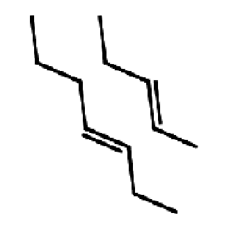 CC=CCC.CCC=CCCC